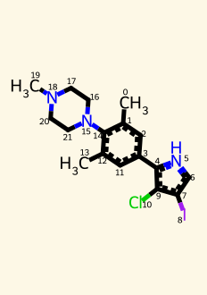 Cc1cc(-c2[nH]cc(I)c2Cl)cc(C)c1N1CCN(C)CC1